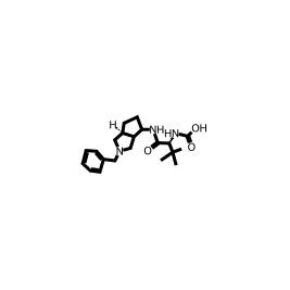 CC(C)(C)[C@H](NC(=O)O)C(=O)NC1CC[C@@H]2CN(Cc3ccccc3)CC12